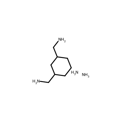 N.N.NCC1CCCC(CN)C1